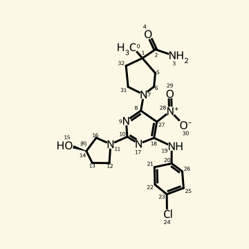 CC1(C(N)=O)CCN(c2nc(N3CC[C@@H](O)C3)nc(Nc3ccc(Cl)cc3)c2[N+](=O)[O-])CC1